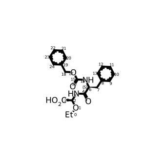 CCOC(NC(=O)[C@H](Cc1ccccc1)NC(=O)OCc1ccccc1)C(=O)O